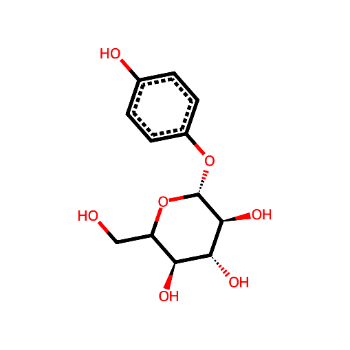 OCC1O[C@H](Oc2ccc(O)cc2)[C@@H](O)[C@H](O)[C@H]1O